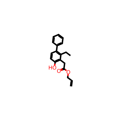 C=CCOC(=O)Cc1c(O)ccc(-c2ccccc2)c1CC